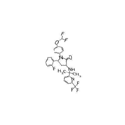 CC(C)(NC1CC(c2ccccc2F)N(c2ccc(OC(F)F)cc2)C1=O)c1cccc(C(F)(F)F)n1